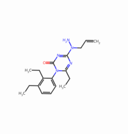 C=CCN(N)c1nc(CC)n(-c2cccc(CC)c2CC)c(=O)n1